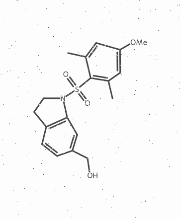 COc1cc(C)c(S(=O)(=O)N2CCc3ccc(CO)cc32)c(C)c1